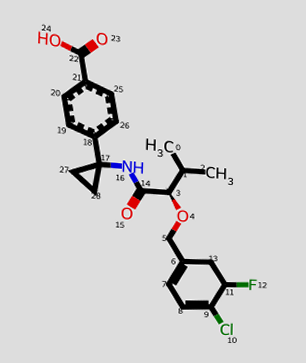 CC(C)[C@@H](OCC1=CC=C(Cl)C(F)C1)C(=O)NC1(c2ccc(C(=O)O)cc2)CC1